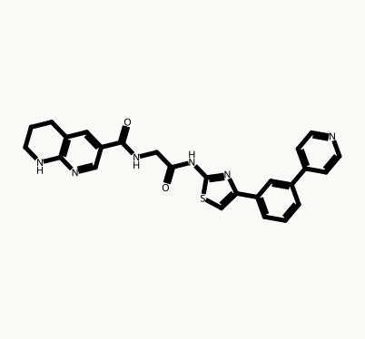 O=C(CNC(=O)c1cnc2c(c1)CCCN2)Nc1nc(-c2cccc(-c3ccncc3)c2)cs1